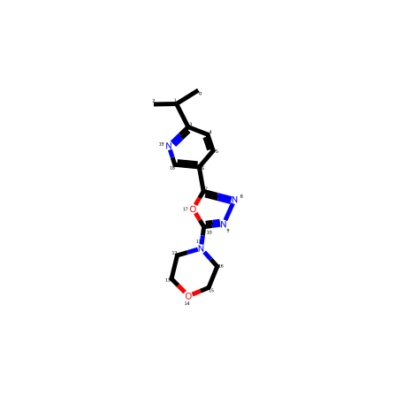 CC(C)c1ccc(-c2nnc(N3CCOCC3)o2)cn1